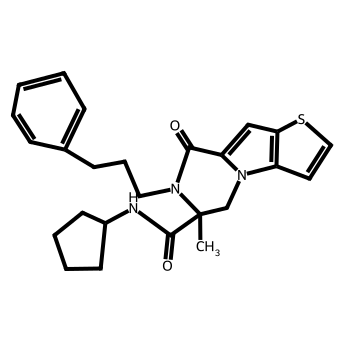 CC1(C(=O)NC2CCCC2)Cn2c(cc3sccc32)C(=O)N1CCCc1ccccc1